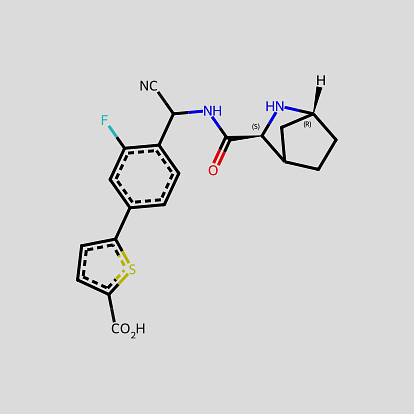 N#CC(NC(=O)[C@H]1N[C@@H]2CCC1C2)c1ccc(-c2ccc(C(=O)O)s2)cc1F